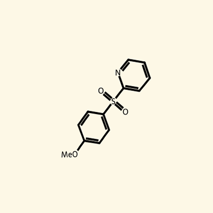 COc1ccc(S(=O)(=O)c2ccccn2)cc1